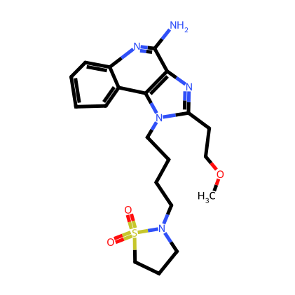 COCCc1nc2c(N)nc3ccccc3c2n1CCCCN1CCCS1(=O)=O